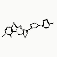 Cn1cnc2nc(N)n(Cc3nc(C4COC(c5ccc(F)cc5)C4)no3)c2c1=O